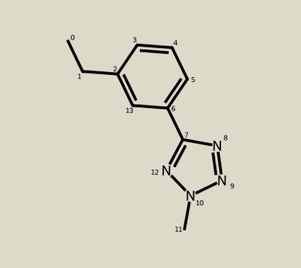 CCc1cccc(-c2nnn(C)n2)c1